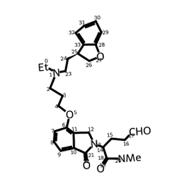 CCN(CCCOc1cccc2c1CN(C(CCC=O)C(=O)NC)C2=O)CC[C@@H]1COc2ccccc21